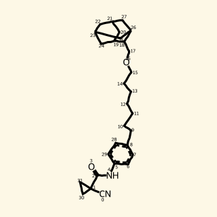 N#CC1(C(=O)Nc2ccc(CCCCCCCOCC3C4CC5CC(C4)CC3C5)cc2)CC1